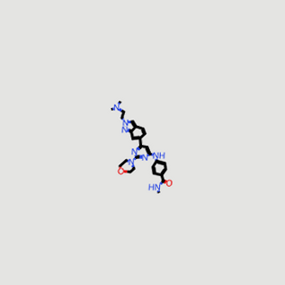 CNC(=O)c1ccc(Nc2cc(-c3ccc4cn(CCN(C)C)nc4c3)nc(N3CCOCC3)n2)cc1